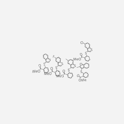 COC(=O)c1ccccc1Sc1c(C)oc2ccccc12.COC(=O)c1ccccc1Sc1csc2ccc(C)cc12.COC(=O)c1ccccc1Sc1csc2ccc(Cl)cc12.COC(=O)c1ccccc1Sc1csc2ccc(F)cc12.COC(=O)c1ccccc1Sc1csc2ccccc12